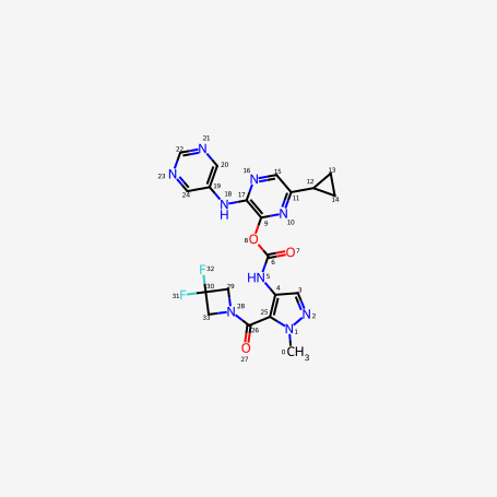 Cn1ncc(NC(=O)Oc2nc(C3CC3)cnc2Nc2cncnc2)c1C(=O)N1CC(F)(F)C1